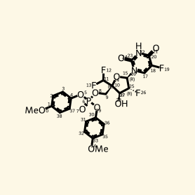 COc1ccc(OP(=O)(OC[C@@]2(C(F)F)O[C@@H](n3cc(F)c(=O)[nH]c3=O)[C@H](F)[C@H]2O)Oc2ccc(OC)cc2)cc1